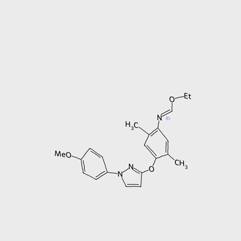 CCO/C=N/c1cc(C)c(Oc2ccn(-c3ccc(OC)cc3)n2)cc1C